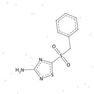 Nc1nsc(S(=O)(=O)Cc2ccccc2)n1